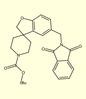 CC(C)(C)OC(=O)N1CCC2(CC1)COc1ccc(CN3C(=O)c4ccccc4C3=O)cc12